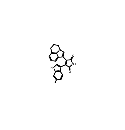 O=C1NC(=O)C(c2cn3c4c(cccc24)CCC3)=C1c1c[nH]c2cc(F)ccc12